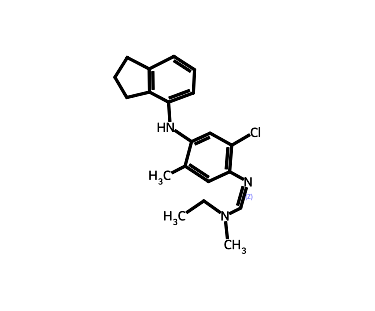 CCN(C)/C=N\c1cc(C)c(Nc2cccc3c2CCC3)cc1Cl